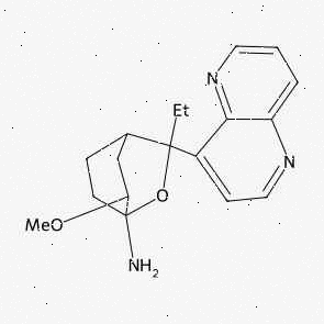 CCC1(c2ccnc3cccnc23)OC2(N)CCC1CC2OC